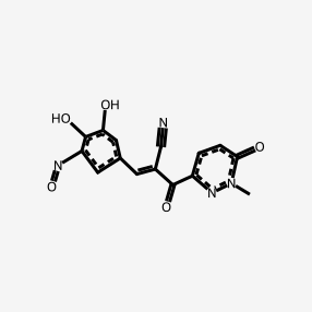 Cn1nc(C(=O)/C(C#N)=C/c2cc(O)c(O)c(N=O)c2)ccc1=O